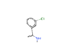 C=C(NC)c1cccc(Cl)c1